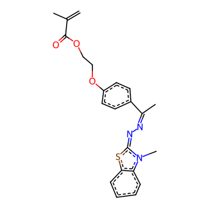 C=C(C)C(=O)OCCOc1ccc(C(C)=NN=c2sc3ccccc3n2C)cc1